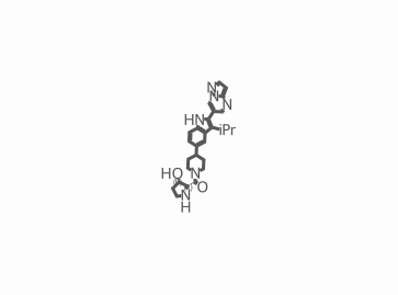 CC(C)c1c(-c2cnc3ccnn3c2)[nH]c2ccc(C3CCN(C(=O)[C@@H]4NCC[C@H]4O)CC3)cc12